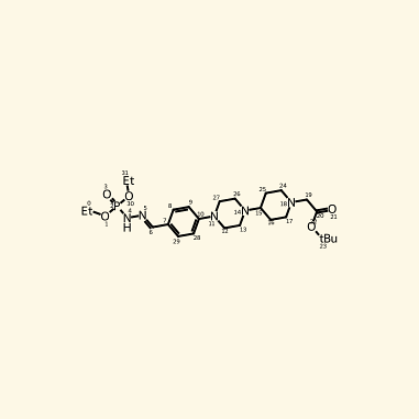 CCOP(=O)(NN=Cc1ccc(N2CCN(C3CCN(CC(=O)OC(C)(C)C)CC3)CC2)cc1)OCC